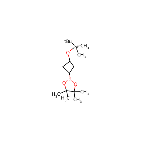 CC1(C)OB(C2CC(O[Si](C)(C)C(C)(C)C)C2)OC1(C)C